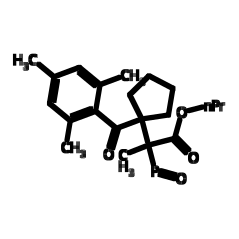 CCCOC(=O)C(C)(P=O)C1(C(=O)c2c(C)cc(C)cc2C)CCCC1